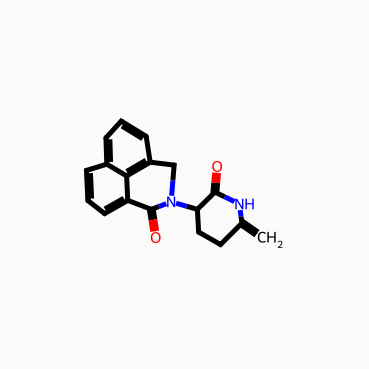 C=C1CCC(N2Cc3cccc4cccc(c34)C2=O)C(=O)N1